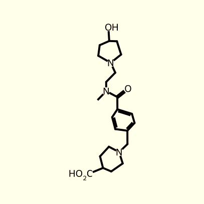 CN(CCN1CCC(O)CC1)C(=O)c1ccc(CN2CCC(C(=O)O)CC2)cc1